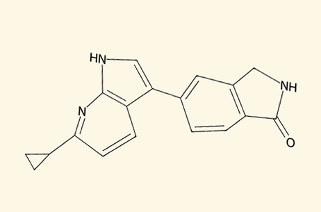 O=C1NCc2cc(-c3c[nH]c4nc(C5CC5)ccc34)ccc21